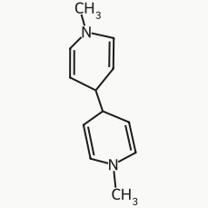 CN1C=CC(C2C=CN(C)C=C2)C=C1